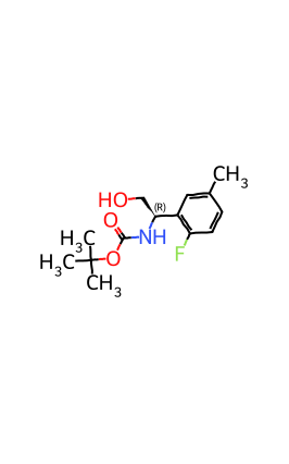 Cc1ccc(F)c([C@H](CO)NC(=O)OC(C)(C)C)c1